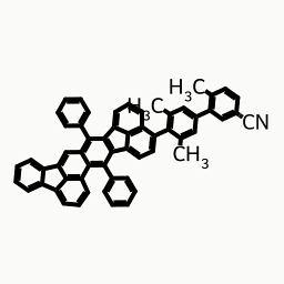 Cc1ccc(C#N)cc1-c1cc(C)c(-c2ccc3c4c(-c5ccccc5)c5c(cc6c7ccccc7c7cccc5c76)c(-c5ccccc5)c4c4cccc2c43)c(C)c1